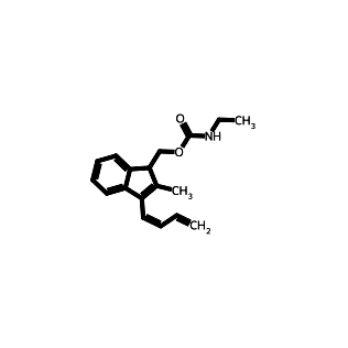 C=C/C=C\C1=C(C)C(COC(=O)NCC)c2ccccc21